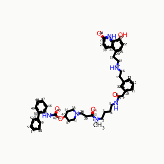 CN(CCCCNC(=O)Cc1cccc(CCNCCc2ccc(O)c3[nH]c(=O)ccc23)c1)C(=O)CCN1CCC(OC(=O)Nc2ccccc2-c2ccccc2)CC1